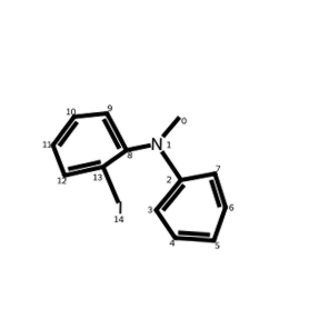 CN(c1ccccc1)c1ccccc1I